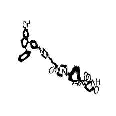 O=C1CCC(NC(=O)c2ccc(N3CCN(C(=O)CCCN4CCN(c5ccc([C@@H]6c7ccc(O)cc7CC[C@@H]6c6ccccc6)cc5)CC4)CC3)cc2)C(=O)N1